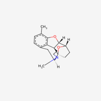 Cc1ccc2c3c1O[C@@H]1[C@@H]4CC[C@]5(O4)[C@H](C2)N(C)CC[C@@]315